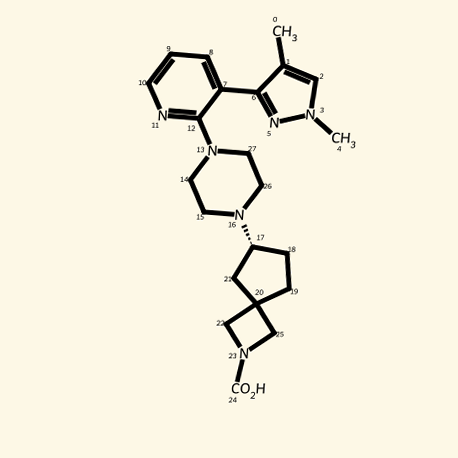 Cc1cn(C)nc1-c1cccnc1N1CCN([C@@H]2CCC3(C2)CN(C(=O)O)C3)CC1